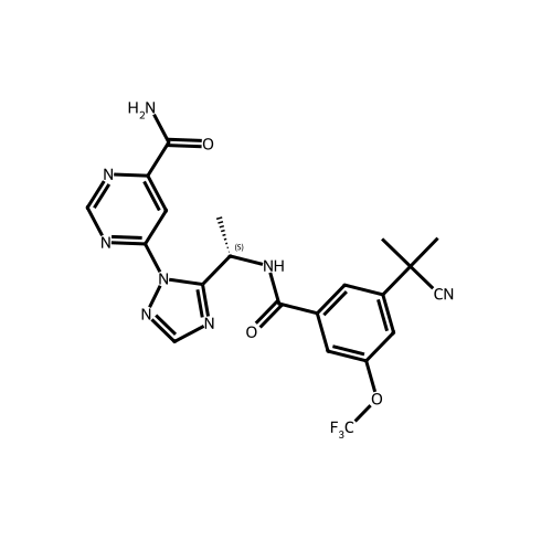 C[C@H](NC(=O)c1cc(OC(F)(F)F)cc(C(C)(C)C#N)c1)c1ncnn1-c1cc(C(N)=O)ncn1